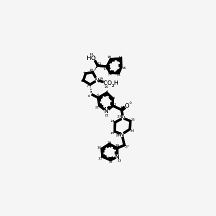 O=C(c1ccc(C[C@@H]2CC[C@H](C(O)c3ccccc3)N2C(=O)O)cn1)N1CCN(Cc2ccccn2)CC1